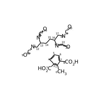 Cc1c(C(=O)O)cccc1C(=O)O.O=C=NCC(CCC(CN=C=O)N=C=O)N=C=O